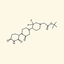 CC(C)(C)OC(=O)CN1CCC(N2CCN(C3CCC(=O)NC3=O)C(=O)C2)C(F)(F)C1